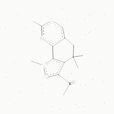 CC(=O)c1nn(C)c2c1C(C)(C)Cc1cnc(C)nc1-2